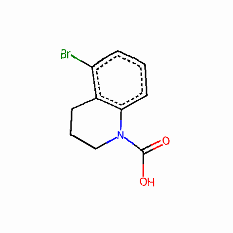 O=C(O)N1CCCc2c(Br)cccc21